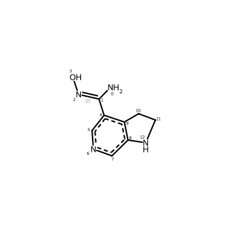 N/C(=N\O)c1cncc2c1CCN2